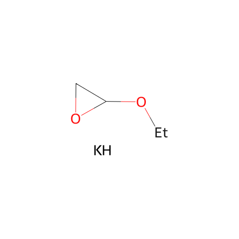 CCOC1CO1.[KH]